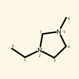 [CH2]CN1CCN(C)C1